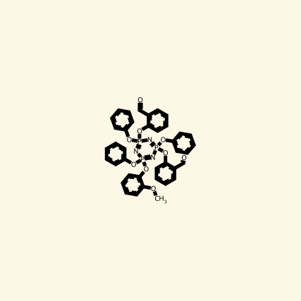 COc1ccccc1OP1(Oc2ccccc2)=NP(Oc2ccccc2)(Oc2ccccc2C=O)=NP(Oc2ccccc2)(Oc2ccccc2C=O)=N1